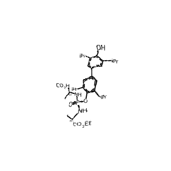 CCOC(=O)[C@H](C)NP(=O)(N[C@@H](C)C(=O)O)Oc1c(C(C)C)cc(-c2cc(C(C)C)c(O)c(C(C)C)c2)cc1C(C)C